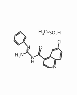 CS(=O)(=O)O.NC(=Nc1ccccc1)NC(=O)c1ccnc2ccc(Cl)cc12